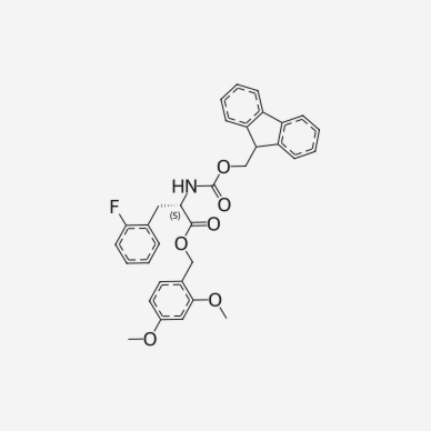 COc1ccc(COC(=O)[C@H](Cc2ccccc2F)NC(=O)OCC2c3ccccc3-c3ccccc32)c(OC)c1